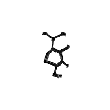 O=C(O)c1ccc(B(O)O)c(F)c1F